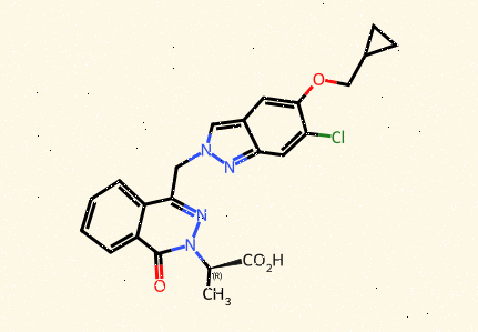 C[C@H](C(=O)O)n1nc(Cn2cc3cc(OCC4CC4)c(Cl)cc3n2)c2ccccc2c1=O